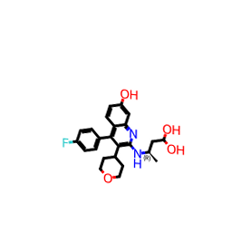 C[C@H](CC(O)O)Nc1nc2cc(O)ccc2c(-c2ccc(F)cc2)c1C1CCOCC1